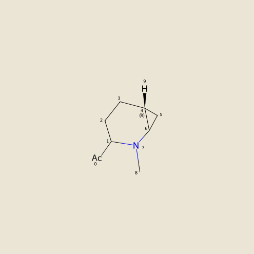 CC(=O)C1CC[C@@H]2CC2N1C